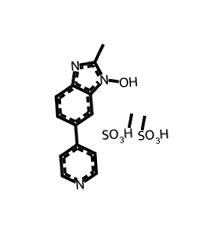 CS(=O)(=O)O.CS(=O)(=O)O.Cc1nc2ccc(-c3ccncc3)cc2n1O